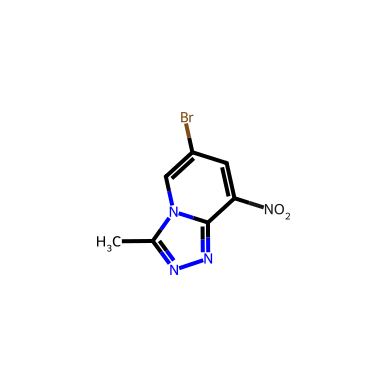 Cc1nnc2c([N+](=O)[O-])cc(Br)cn12